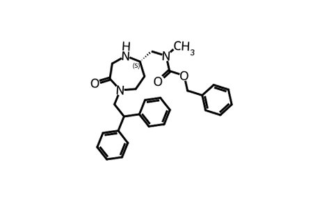 CN(C[C@@H]1CCN(CC(c2ccccc2)c2ccccc2)C(=O)CN1)C(=O)OCc1ccccc1